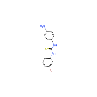 Nc1ccc(NC(=S)Nc2cccc(Br)c2)cc1